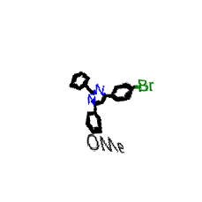 COc1ccc(-c2cc(-c3ccc(Br)cc3)nc(-c3ccccc3)n2)cc1